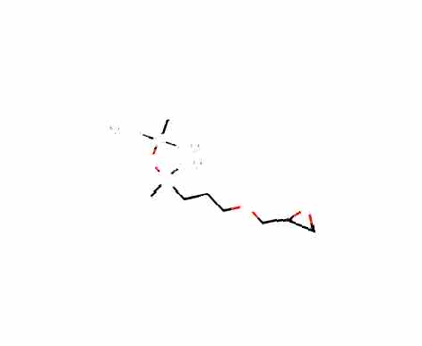 CO[Si](C)(CCCOCC1CO1)O[Si](C)(OC)OC